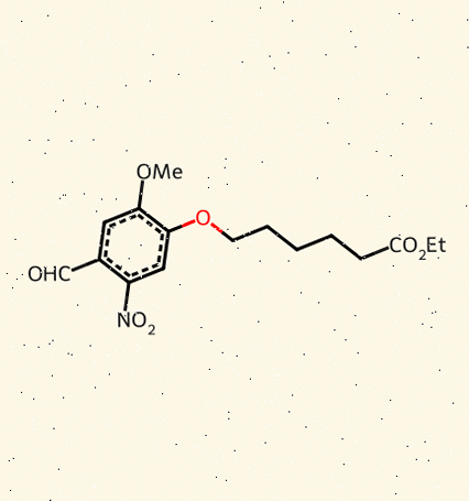 CCOC(=O)CCCCCOc1cc([N+](=O)[O-])c(C=O)cc1OC